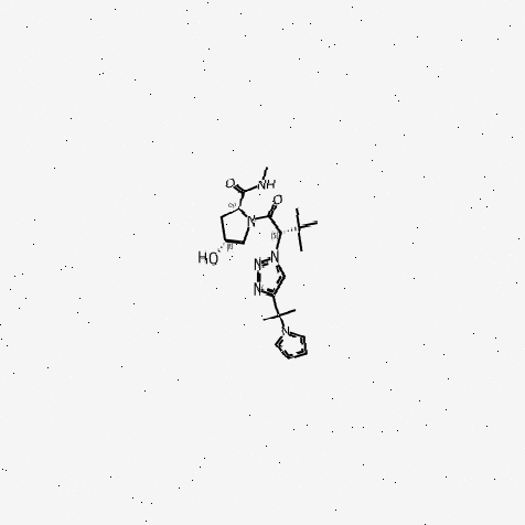 CNC(=O)[C@@H]1C[C@@H](O)CN1C(=O)[C@@H](n1cc(C(C)(C)n2cccc2)nn1)C(C)(C)C